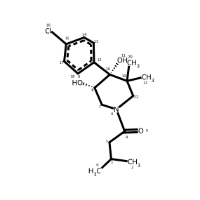 CC(C)CC(=O)N1C[C@H](O)[C@@](O)(c2ccc(Cl)cc2)C(C)(C)C1